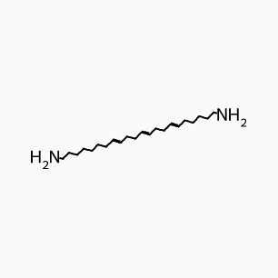 NCCCCCC=CCCC=CCCC=CCCCCCCCN